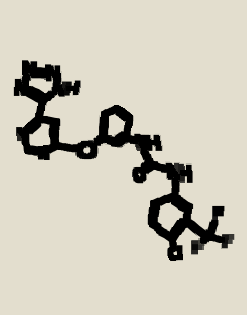 O=C(Nc1cccc(Oc2cc(-c3nnn[nH]3)ncn2)c1)Nc1ccc(Cl)c(C(F)(F)F)c1